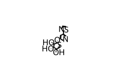 O[C@@H]1[C@@H](O)[C@H](Oc2cncc(-c3nccs3)c2)SC[C@H]1O